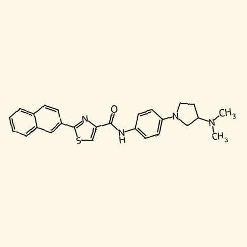 CN(C)C1CCN(c2ccc(NC(=O)c3csc(-c4ccc5ccccc5c4)n3)cc2)C1